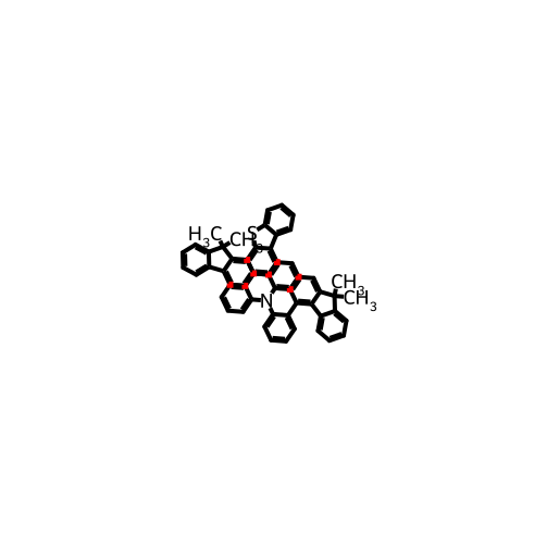 CC1(C)c2ccccc2-c2ccc(-c3ccccc3N(c3ccccc3-c3ccc4c(c3)sc3ccccc34)c3ccccc3-c3cccc4c3-c3ccccc3C4(C)C)cc21